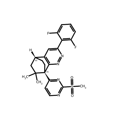 CC1(C)C[C@H]2CC[C@]1(c1ccnc(S(C)(=O)=O)n1)c1nnc(-c3c(F)cccc3F)cc12